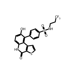 O=c1[nH]c2ccc(O)c(-c3ccc(S(=O)(=O)NCCC(F)(F)F)cc3)c2c2ccsc12